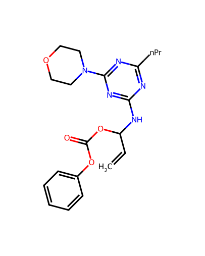 C=CC(Nc1nc(CCC)nc(N2CCOCC2)n1)OC(=O)Oc1ccccc1